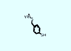 CNSCc1ccc(S)cc1